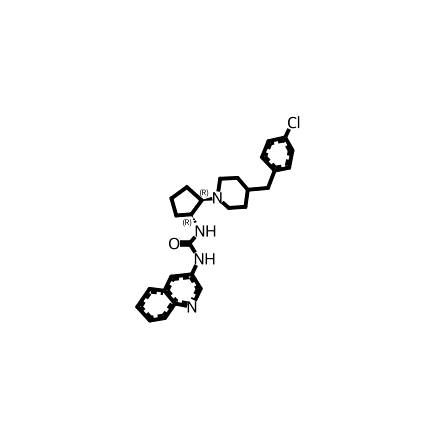 O=C(Nc1cnc2ccccc2c1)N[C@@H]1CCC[C@H]1N1CCC(Cc2ccc(Cl)cc2)CC1